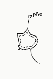 [CH2]c1cc(OC)cs1